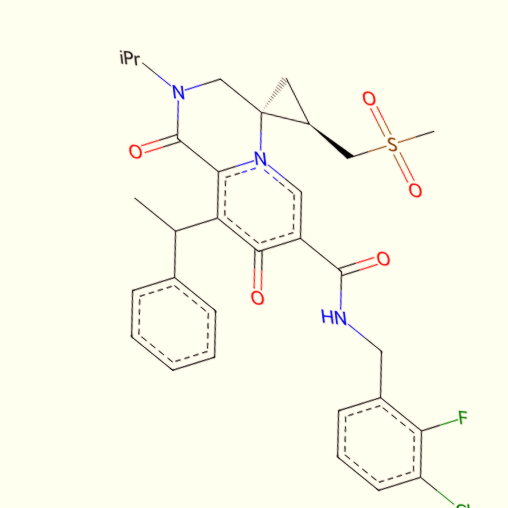 CC(c1ccccc1)c1c2n(cc(C(=O)NCc3cccc(Cl)c3F)c1=O)[C@@]1(C[C@H]1CS(C)(=O)=O)CN(C(C)C)C2=O